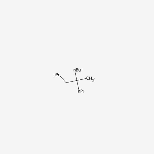 [CH2]C(CCC)(CCCC)CC(C)C